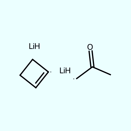 [CH2]C(C)=O.[C]1=CCC1.[LiH].[LiH]